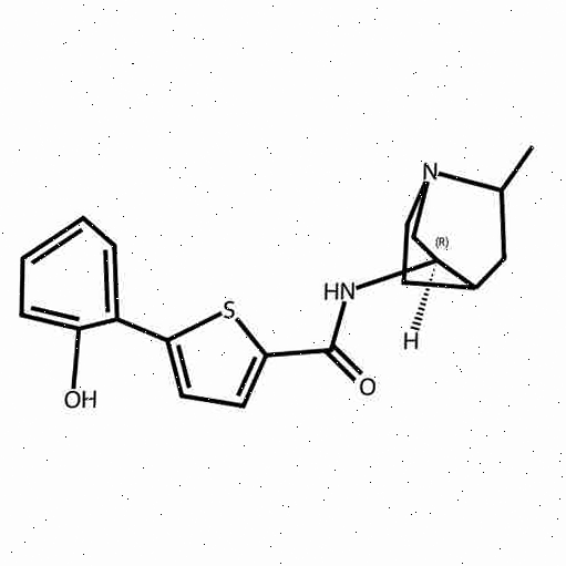 CC1CC2CCN1C[C@@H]2NC(=O)c1ccc(-c2ccccc2O)s1